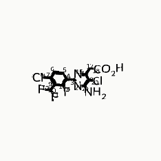 Nc1nc(-c2ccc(Cl)c(C(F)F)c2F)nc(CC(=O)O)c1Cl